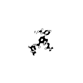 Cc1cn2cc(NC(=O)c3ccc(N4CCNCC4OC(=O)C(F)(F)F)c4cn(CC(=O)N(C)C)nc34)cc(F)c2n1